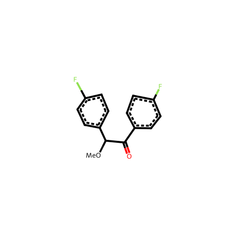 COC(C(=O)c1ccc(F)cc1)c1ccc(F)cc1